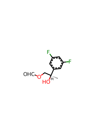 C[C@](O)(COC=O)c1cc(F)cc(F)c1